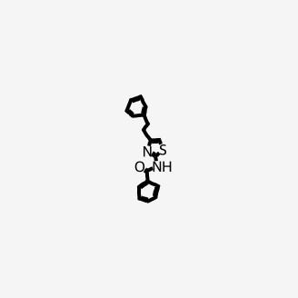 O=C(Nc1nc(CCc2ccccc2)cs1)c1ccccc1